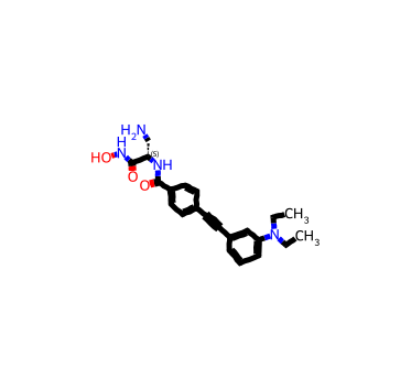 CCN(CC)c1cccc(C#Cc2ccc(C(=O)N[C@@H](CN)C(=O)NO)cc2)c1